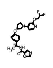 C[C@H](NC(=O)c1cnco1)c1ccc(OC2CCN(c3ccnc(OCC(F)F)c3)C2)cc1